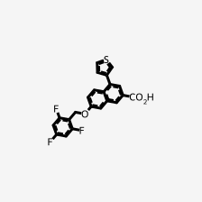 O=C(O)c1cc(-c2ccsc2)c2ccc(OCc3c(F)cc(F)cc3F)cc2c1